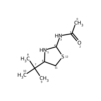 CC(=O)NC1NC(C(C)(C)C)CS1